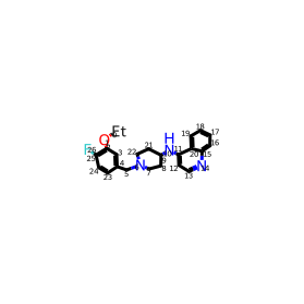 CCOc1cc(CN2CCC(Nc3ccnc4ccccc34)CC2)ccc1F